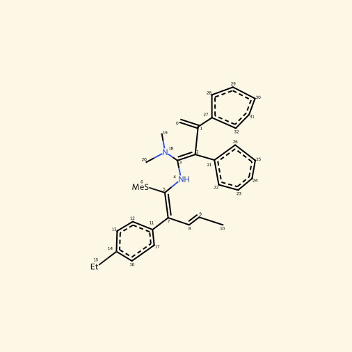 C=C(/C(=C(/N/C(SC)=C(\C=C\C)c1ccc(CC)cc1)N(C)C)c1ccccc1)c1ccccc1